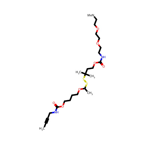 CC#CCNC(=O)OCCCCOC(C)SSC(C)(C)CCOC(=O)NCCOCCOCCNC